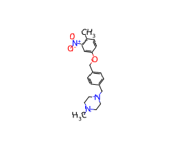 Cc1ccc(OCc2ccc(CN3CCN(C)CC3)cc2)cc1[N+](=O)[O-]